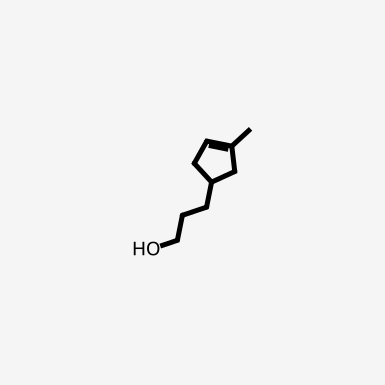 CC1=CCC(CCCO)C1